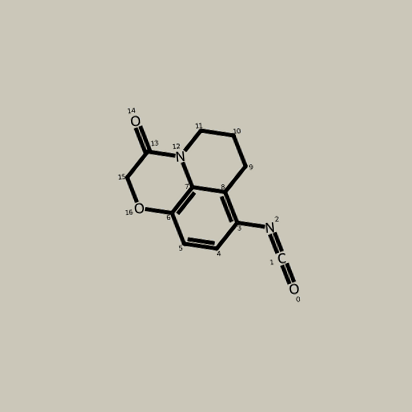 O=C=Nc1ccc2c3c1CCCN3C(=O)CO2